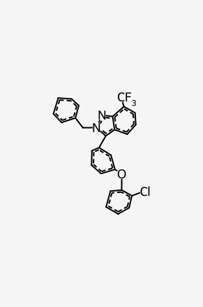 FC(F)(F)c1cccc2c(-c3cccc(Oc4ccccc4Cl)c3)n(Cc3ccccc3)nc12